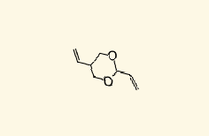 C=CC1COC(C=C)OC1